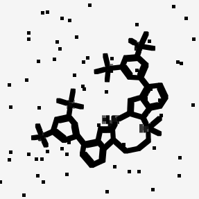 C[Si](C)(C)c1cc(-c2cccc3c2C=C2[SiH2]C4=Cc5c(-c6cc([Si](C)(C)C)cc([Si](C)(C)C)c6)cccc5[CH]4[Hf]([CH3])([CH3])[CH2]CCC23)cc([Si](C)(C)C)c1